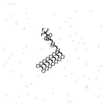 ClCCl.ClCCl.ClCCl.ClCCl.ClCCl.ClCCl.ClCCl.ClCCl.ClCCl.O=C(O)C(F)(F)F